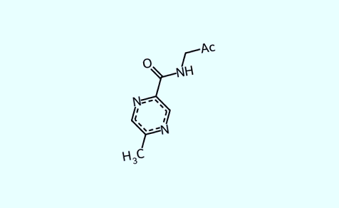 CC(=O)CNC(=O)c1cnc(C)cn1